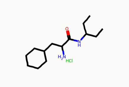 CCC(CC)NC(=O)C(N)CC1CCCCC1.Cl